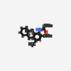 CNC(=O)Nc1c(OC)cc(C)c(CC2CCCCC2)c1OC